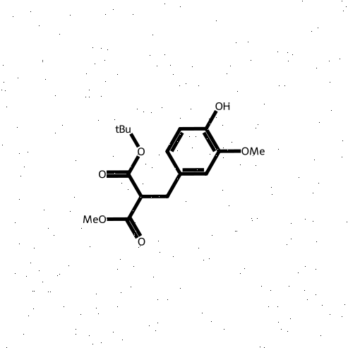 COC(=O)C(Cc1ccc(O)c(OC)c1)C(=O)OC(C)(C)C